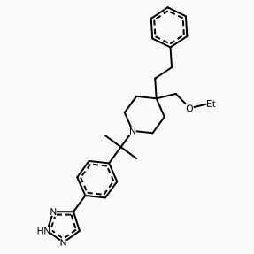 CCOCC1(CCc2ccccc2)CCN(C(C)(C)c2ccc(-c3cn[nH]n3)cc2)CC1